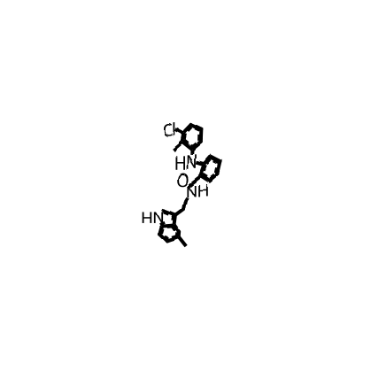 Cc1ccc2[nH]cc(CCNC(=O)c3ccccc3Nc3cccc(Cl)c3C)c2c1